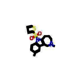 Cc1ccc2c(c1)c1c(n2S(=O)(=O)c2cccs2)CCCN(C)C1